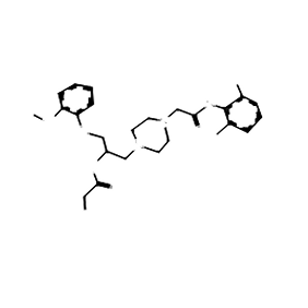 CCC(=O)OC(COc1ccccc1OC)CN1CCN(CC(=O)Nc2c(C)cccc2C)CC1